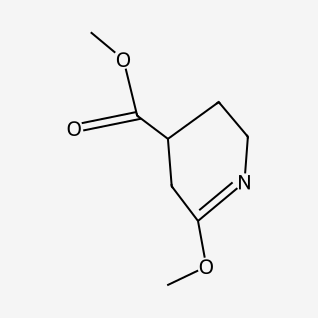 COC(=O)C1CCN=C(OC)C1